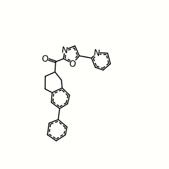 O=C(c1ncc(-c2ccccn2)o1)C1CCc2cc(-c3ccccc3)ccc2C1